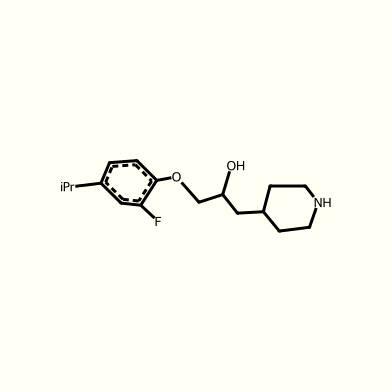 CC(C)c1ccc(OCC(O)CC2CCNCC2)c(F)c1